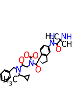 CC(C1CC1)N(Cc1ccccc1)C(=O)CN1C(=O)O[C@]2(CCc3cc(NC(=O)C(C)(C)N)ccc32)C1=O